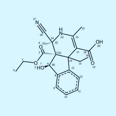 CCOC(=O)[C@@]12[C@H](O)c3ccccc3C1(CC)C(C(=O)O)=C(C)N[C@]2(C)C#N